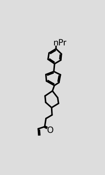 C=CC(=O)CCC1CCC(c2ccc(-c3ccc(CCC)cc3)cc2)CC1